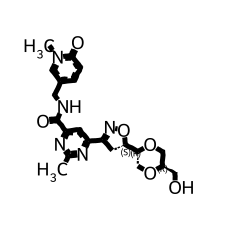 Cc1nc(C(=O)NCc2ccc(=O)n(C)c2)cc(C2=NO[C@H]([C@H]3CO[C@H](CO)CO3)C2)n1